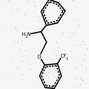 NC(COc1ccccc1C(F)(F)F)c1ccccc1